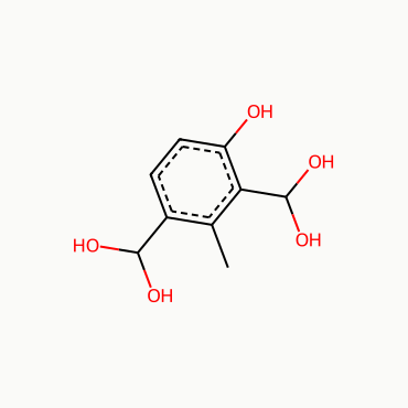 Cc1c(C(O)O)ccc(O)c1C(O)O